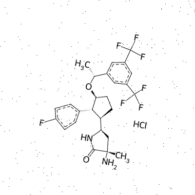 C[C@@H](O[C@H]1CC[C@@H]([C@H]2C[C@](C)(N)C(=O)N2)[C@@H]1c1ccc(F)cc1)c1cc(C(F)(F)F)cc(C(F)(F)F)c1.Cl